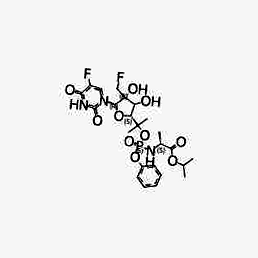 CC(C)OC(=O)[C@H](C)N[P@](=O)(Oc1ccccc1)OC(C)(C)[C@H]1O[C@@H](n2cc(F)c(=O)[nH]c2=O)[C@@](O)(CF)C1O